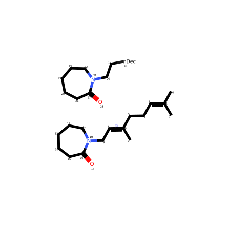 CC(C)=CCC/C(C)=C/CN1CCCCCC1=O.CCCCCCCCCCCCN1CCCCCC1=O